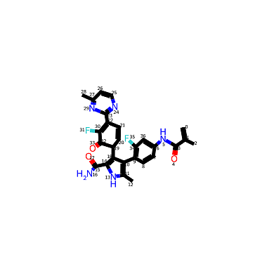 C=C(C)C(=O)Nc1ccc(-c2c(C)[nH]c(C(N)=O)c2C2C=CC(c3nccc(C)n3)=C(F)C2=O)c(F)c1